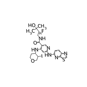 CC(C)(O)[C@H](F)CNC(=O)c1cnc(Nc2ccc3ncsc3n2)cc1NC1CCOCC1I